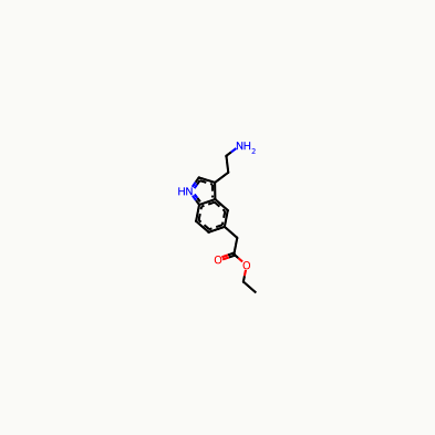 CCOC(=O)Cc1ccc2[nH]cc(CCN)c2c1